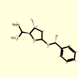 CNC(C(=O)O)[C@@H]1OC(O[C@H](C)c2ccccc2)C[C@H]1C